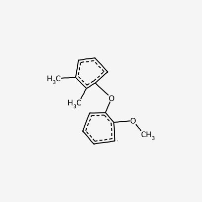 COc1[c]cccc1Oc1cccc(C)c1C